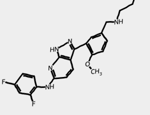 CCCNCc1ccc(OC)c(-c2n[nH]c3nc(Nc4ccc(F)cc4F)ccc23)c1